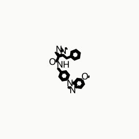 COc1ccc2ncn(-c3ccc(CNC(=O)c4cnn(C)c4Cc4ccccc4)cc3)c2c1